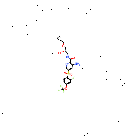 Nc1cc(S(=O)(=O)c2ccc(OC(F)(F)F)cc2F)cnc1C(=O)NCC(O)COCC1CC1